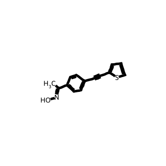 CC(=NO)c1ccc(C#Cc2cccs2)cc1